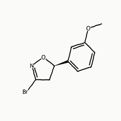 COc1cccc([C@H]2CC(Br)=NO2)c1